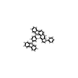 c1ccc(-n2ccc3cc4c(ccc5c6ccccc6n(-c6ccc(-n7c8ccccc8c8ccccc87)cc6)c45)cc32)cc1